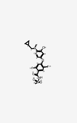 CN(CC1CC1)c1ncc(Oc2cc(F)c(C(=O)NS(C)(=O)=O)cc2F)cc1Cl